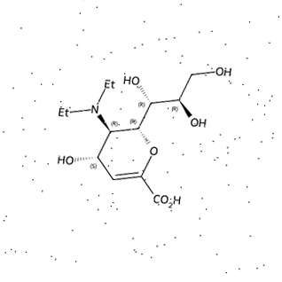 CCN(CC)[C@H]1[C@H]([C@H](O)[C@H](O)CO)OC(C(=O)O)=C[C@@H]1O